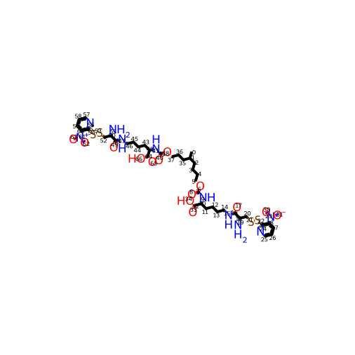 CC(CCCCOC(=O)NC(CCCCNC(=O)C(N)CSSc1ncccc1[N+](=O)[O-])C(=O)O)CCCOC(=O)NC(CCCCNC(=O)C(N)CSSc1ncccc1[N+](=O)[O-])C(=O)O